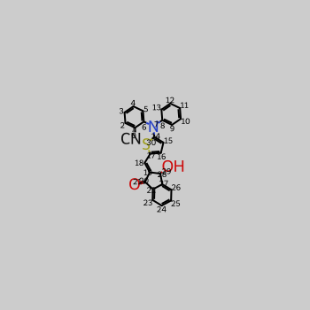 N#Cc1ccccc1N(c1ccccc1)c1ccc(/C=C2/C(=O)c3ccccc3C2O)s1